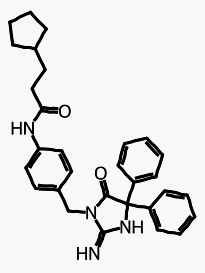 N=C1NC(c2ccccc2)(c2ccccc2)C(=O)N1Cc1ccc(NC(=O)CCC2CCCC2)cc1